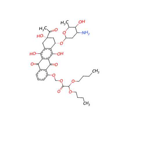 CCCCOC(OCCCC)C(=O)OCOc1cccc2c1C(=O)c1c(O)c3c(c(O)c1C2=O)C[C@@](O)(C(C)=O)C[C@@H]3OC1CC(N)C(O)C(C)O1